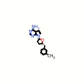 Cc1cccc(C[C@@H]2CC[C@H](n3ccc4c(N)ncnc43)O2)c1